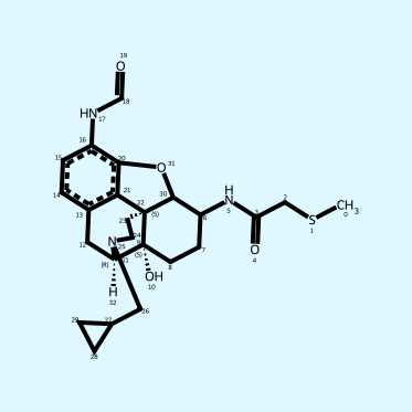 CSCC(=O)NC1CC[C@@]2(O)[C@H]3Cc4ccc(NC=O)c5c4[C@@]2(CCN3CC2CC2)C1O5